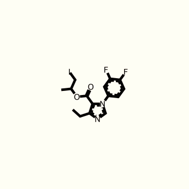 CCc1ncn(-c2ccc(F)c(F)c2)c1C(=O)OC(C)CI